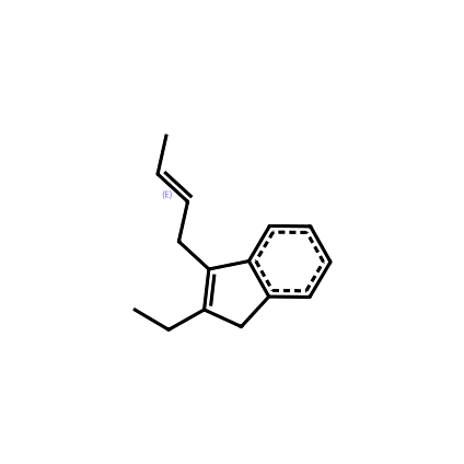 C/C=C/CC1=C(CC)Cc2ccccc21